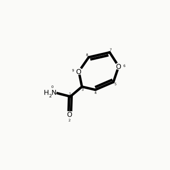 NC(=O)C1C=COC=CO1